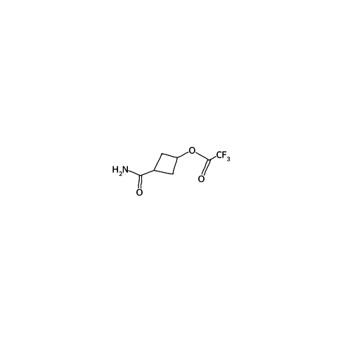 NC(=O)C1CC(OC(=O)C(F)(F)F)C1